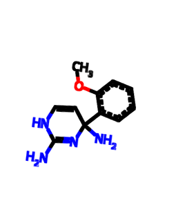 COc1ccccc1C1(N)C=CNC(N)=N1